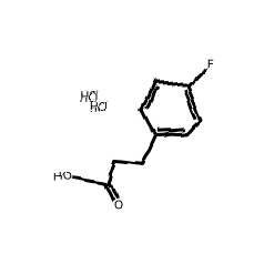 Cl.Cl.O=C(O)CCc1ccc(F)cc1